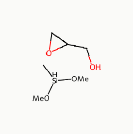 CO[SiH](C)OC.OCC1CO1